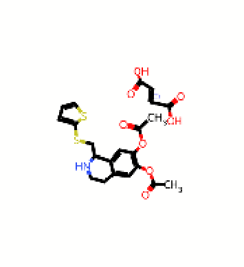 CC(=O)Oc1cc2c(cc1OC(C)=O)C(CSc1cccs1)NCC2.O=C(O)/C=C/C(=O)O